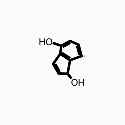 Oc1cc[c]c2c1C=CC2O